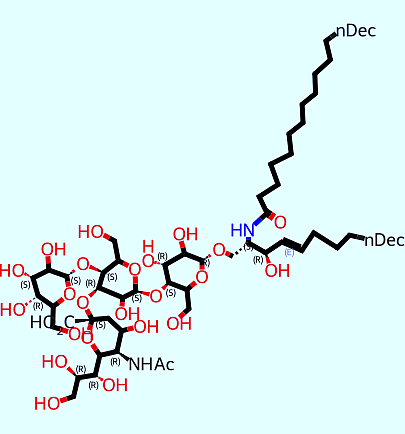 CCCCCCCCCCCCC/C=C/[C@@H](O)[C@H](CO[C@@H]1OC(CO)[C@@H](O[C@@H]2OC(CO)[C@H](O[C@@H]3OC(CO)[C@H](O)[C@H](O)C3O)[C@H](O[C@]3(C(=O)O)CC(O)[C@@H](NC(C)=O)C([C@H](O)[C@H](O)CO)O3)C2O)[C@H](O)C1O)NC(=O)CCCCCCCCCCCCCCCCCCCCC